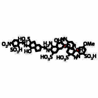 COc1ccc(/N=N\c2c(S(=O)(=O)O)cc3cc(/N=N\c4c(S(=O)(=O)O)cc5cc(S(=O)(=O)O)c(N=Nc6ccc7c(O)c(N=Nc8ccc([N+](=O)[O-])cc8S(=O)(=O)O)c(S(=O)(=O)O)cc7c6)c(N)c5c4O)ccc3c2O)c(S(=O)(=O)O)c1